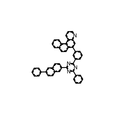 c1ccc(-c2ccc3cc(-c4nc(-c5ccccc5)nc(-c5cccc(-c6cc7ncccc7c7c6ccc6ccccc67)c5)n4)ccc3c2)cc1